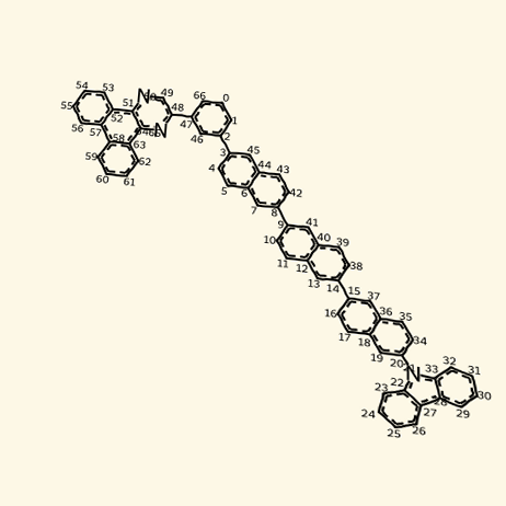 c1cc(-c2ccc3cc(-c4ccc5cc(-c6ccc7cc(-n8c9ccccc9c9ccccc98)ccc7c6)ccc5c4)ccc3c2)cc(-c2cnc3c4ccccc4c4ccccc4c3n2)c1